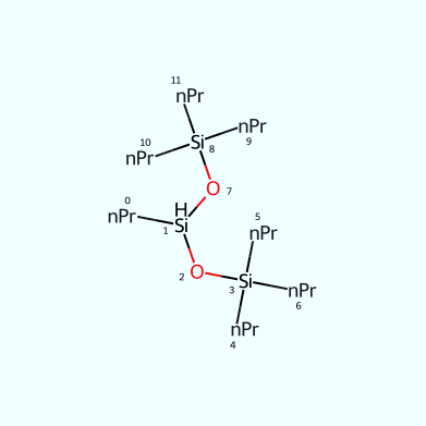 CCC[SiH](O[Si](CCC)(CCC)CCC)O[Si](CCC)(CCC)CCC